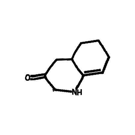 O=C1[C]NC2=CCCCC2C1